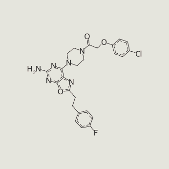 Nc1nc(N2CCN(C(=O)COc3ccc(Cl)cc3)CC2)c2nc(CCc3ccc(F)cc3)oc2n1